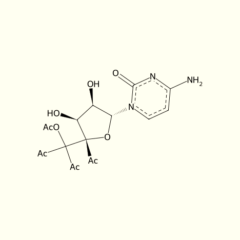 CC(=O)OC(C(C)=O)(C(C)=O)[C@@]1(C(C)=O)O[C@@H](n2ccc(N)nc2=O)[C@H](O)[C@@H]1O